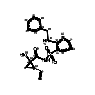 C=C[C@@H]1C[C@@]1(C(=O)NS(=O)(=O)c1cccnc1NCc1ccccc1)C(C)(C)C